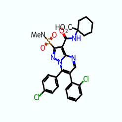 CNS(=O)(=O)c1nn2c(-c3ccc(Cl)cc3)c(-c3ccccc3Cl)cnc2c1C(=O)NC1(C(=O)O)CCCCC1